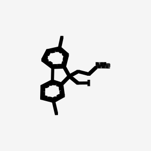 CNCCC1(CI)c2cc(C)ccc2-c2ccc(C)cc21